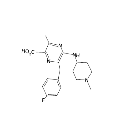 Cc1nc(NC2CCN(C)CC2)c(Cc2ccc(F)cc2)nc1C(=O)O